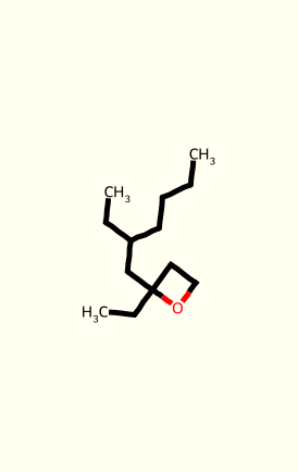 CCCCC(CC)CC1(CC)CCO1